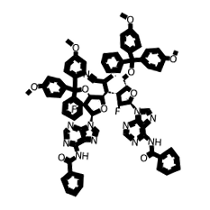 [CH2]C(C#N)C([C@H]1[C@@H](F)[C@H](n2cnc3c(NC(=O)c4ccccc4)ncnc32)O[C@H]1COC(c1ccccc1)(c1ccc(OC)cc1)c1ccc(OC)cc1)[C@H]1O[C@@H](n2cnc3c(NC(=O)c4ccccc4)ncnc32)[C@H](F)[C@@H]1OC(c1ccccc1)(c1ccc(OC)cc1)c1ccc(OC)cc1